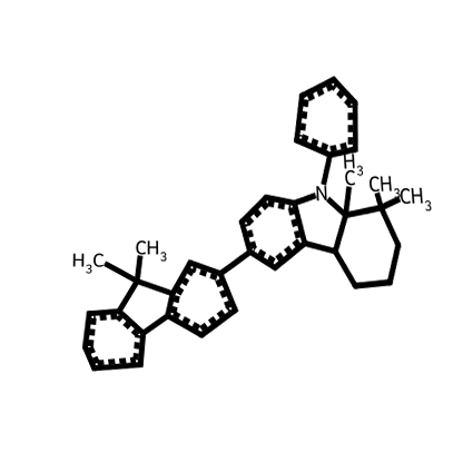 CC1(C)c2ccccc2-c2ccc(-c3ccc4c(c3)C3CCCC(C)(C)C3(C)N4c3ccccc3)cc21